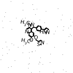 COc1cc2ncc3c(c(-c4ccc(-c5ccn[nH]5)cc4)nn3C)c2cc1OCc1cncs1